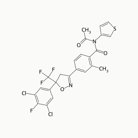 CC(=O)N(C(=O)c1ccc(C2=NOC(c3cc(Cl)c(F)c(Cl)c3)(C(F)(F)F)C2)cc1C)c1ccsc1